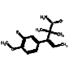 CC=C(c1ccc(OC)c(F)c1)C(C)(C)[S+](N)[O-]